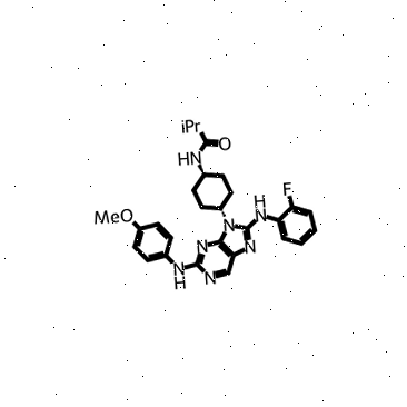 COc1ccc(Nc2ncc3nc(Nc4ccccc4F)n([C@H]4CC[C@H](NC(=O)C(C)C)CC4)c3n2)cc1